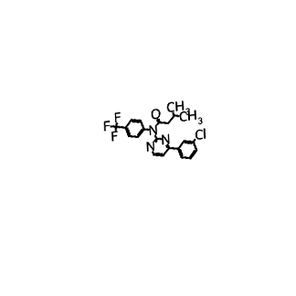 CC(C)CC(=O)N(c1ccc(C(F)(F)F)cc1)c1nccc(-c2cccc(Cl)c2)n1